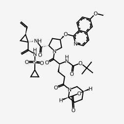 C=C[C@@H]1C[C@]1(NC(=O)[C@@H]1C[C@@H](Oc2nccc3cc(OC)ccc23)CN1C(=O)[C@H](CCC(=O)N1C[C@@H]2CC[C@H]1C(=O)O2)NC(=O)OC(C)(C)C)C(=C)NS(=O)(=O)C1CC1